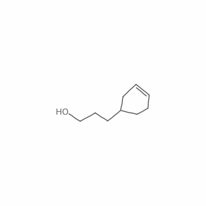 OCCCC1CC=CCC1